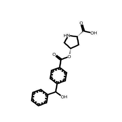 O=C(O[C@@H]1CN[C@H](C(=O)O)C1)c1ccc(C(O)c2ccccc2)cc1